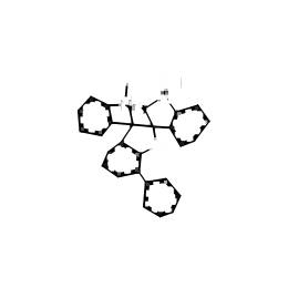 CN1C(=O)C2(Oc3c(-c4ccccc4)cccc3C23C(=O)N(C)c2ccccc23)c2ccccc21